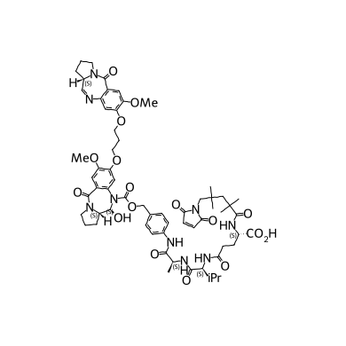 COc1cc2c(cc1OCCCOc1cc3c(cc1OC)C(=O)N1CCC[C@H]1[C@H](O)N3C(=O)OCc1ccc(NC(=O)[C@H](C)NC(=O)[C@@H](NC(=O)CC[C@H](NC(=O)C(C)(C)CC(C)(C)CN3C(=O)C=CC3=O)C(=O)O)C(C)C)cc1)N=C[C@@H]1CCCN1C2=O